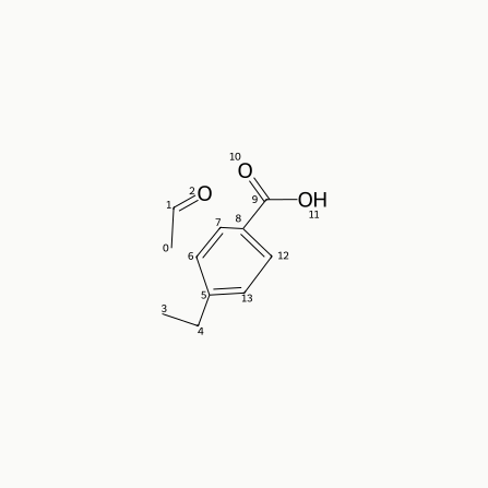 CC=O.CCc1ccc(C(=O)O)cc1